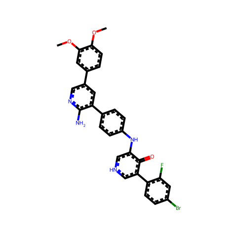 COc1ccc(-c2cnc(N)c(-c3ccc(Nc4c[nH]cc(-c5ccc(Br)cc5F)c4=O)cc3)c2)cc1OC